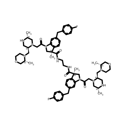 C[C@@H]1CN(CC(=O)N2C[C@](C)(C(=O)NCCNC(=O)[C@@]3(C)CN(C(=O)CN4C[C@@H](C)NC[C@@H]4CN4CCOC[C@H]4C)c4cc(Cc5ccc(F)cc5)ccc43)c3ccc(Cc4ccc(F)cc4)cc32)[C@@H](CN2CCOC[C@H]2C)CN1